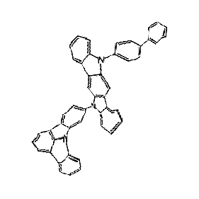 c1ccc(-c2ccc(-n3c4ccccc4c4cc5c(cc43)c3ccccc3n5-c3ccc4c5cccc6c7ccccc7n(c4c3)c65)cc2)cc1